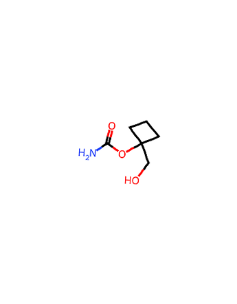 NC(=O)OC1(CO)CCC1